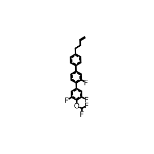 C=CCCc1ccc(-c2ccc(-c3cc(F)c(OC(F)F)c(F)c3)c(F)c2)cc1